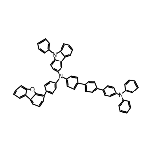 c1ccc(N(c2ccccc2)c2ccc(-c3ccc(-c4ccc(N(c5ccc(-c6cccc7c6oc6ccccc67)cc5)c5ccc6c(c5)c5ccccc5n6-c5ccccc5)cc4)cc3)cc2)cc1